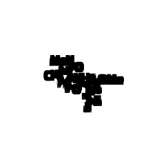 CNC(=O)c1cc(Cl)cc(C)c1NC(=O)c1cc(OC)nn1CC(F)F